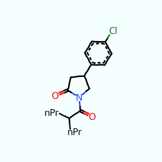 CCCC(CCC)C(=O)N1CC(c2ccc(Cl)cc2)CC1=O